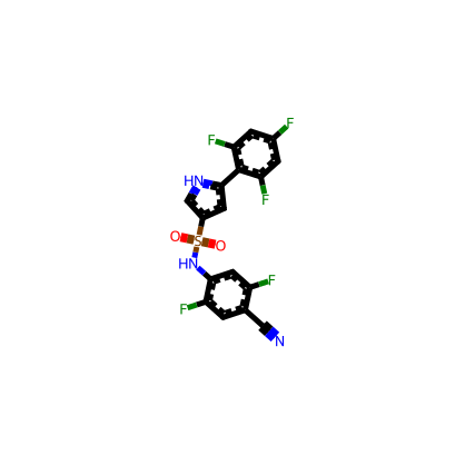 N#Cc1cc(F)c(NS(=O)(=O)c2c[nH]c(-c3c(F)cc(F)cc3F)c2)cc1F